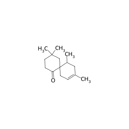 CC1=CCC2(CC(C)(C)CCC2=O)C(C)C1